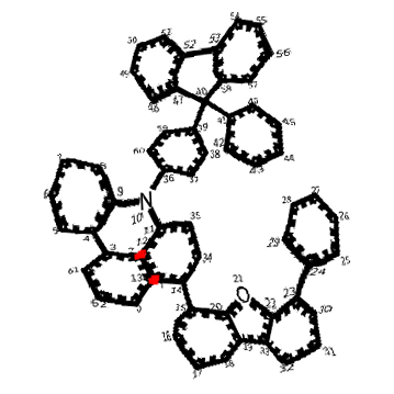 c1ccc(-c2ccccc2N(c2ccc(-c3cccc4c3oc3c(-c5ccccc5)cccc34)cc2)c2ccc(C3(c4ccccc4)c4ccccc4-c4ccccc43)cc2)cc1